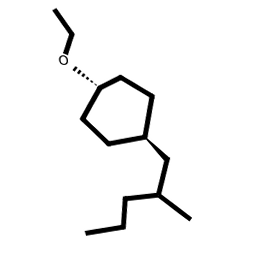 CCCC(C)C[C@H]1CC[C@H](OCC)CC1